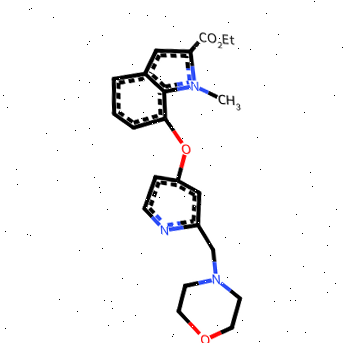 CCOC(=O)c1cc2cccc(Oc3ccnc(CN4CCOCC4)c3)c2n1C